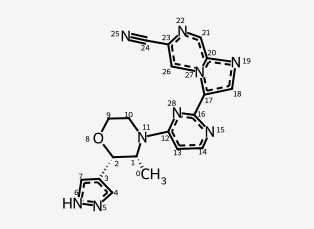 C[C@@H]1[C@H](c2cn[nH]c2)OCCN1c1ccnc(-c2cnc3cnc(C#N)cn23)n1